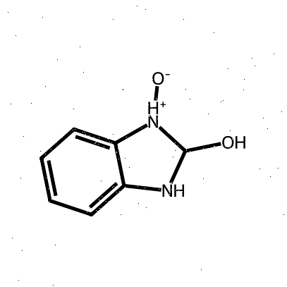 [O-][NH+]1c2ccccc2NC1O